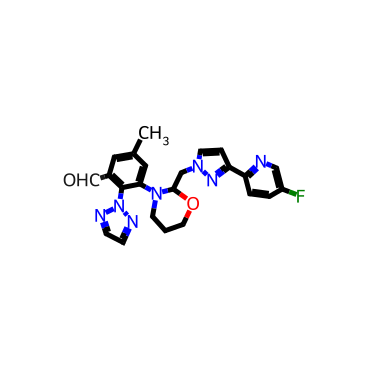 Cc1cc(C=O)c(-n2nccn2)c(N2CCCOC2Cn2ccc(-c3ccc(F)cn3)n2)c1